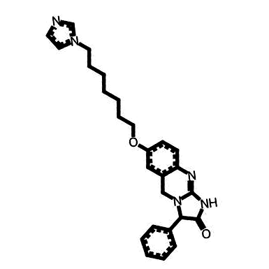 O=C1NC2=Nc3ccc(OCCCCCCCn4ccnc4)cc3CN2C1c1ccccc1